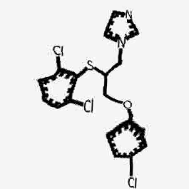 Clc1ccc(OCC(Cn2ccnc2)Sc2c(Cl)cccc2Cl)cc1